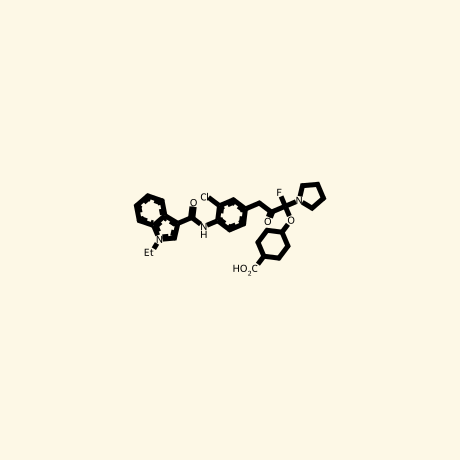 CCn1cc(C(=O)Nc2ccc(CC(=O)C(F)(OC3CCC(C(=O)O)CC3)N3CCCC3)cc2Cl)c2ccccc21